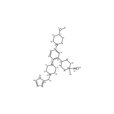 COC1CCN(c2ccc(N3CCN(Cc4ccco4)CC3)c(C3CCC(C)(C)CC3)c2)CC1.Cl